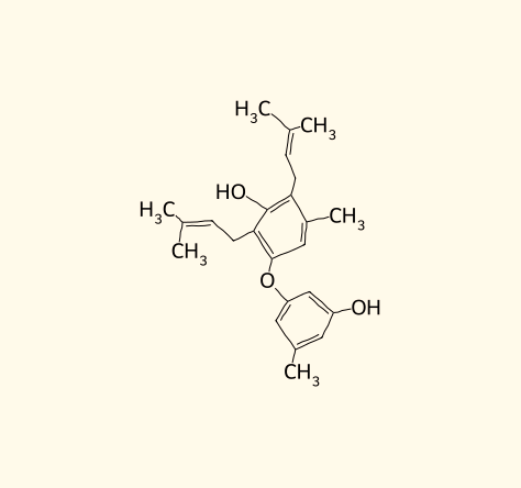 CC(C)=CCc1c(C)cc(Oc2cc(C)cc(O)c2)c(CC=C(C)C)c1O